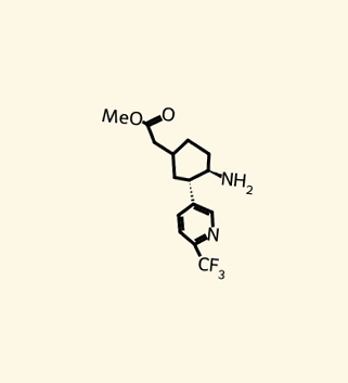 COC(=O)CC1CC[C@@H](N)[C@H](c2ccc(C(F)(F)F)nc2)C1